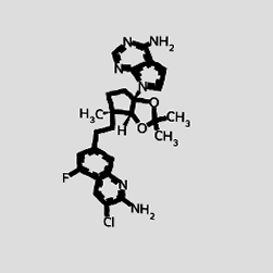 CC1(C)O[C@@H]2[C@@](C)(CCc3cc(F)c4cc(Cl)c(N)nc4c3)CC[C@]2(n2ccc3c(N)ncnc32)O1